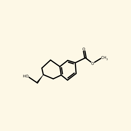 COC(=O)c1ccc2c(c1)CC[C@H](CO)C2